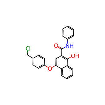 O=C(Nc1ccccc1)c1cc(Oc2ccc(CCl)cc2)c2ccccc2c1O